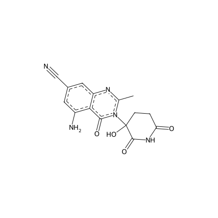 Cc1nc2cc(C#N)cc(N)c2c(=O)n1C1(O)CCC(=O)NC1=O